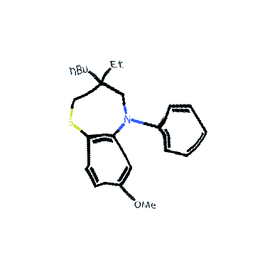 CCCCC1(CC)CSc2ccc(OC)cc2N(c2ccccc2)C1